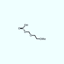 COCCOCO[P](=O)O